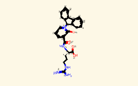 N=C(N)NCCC[C@H](NC(=O)c1cccn(C2c3ccccc3-c3ccccc32)c1=O)C(=O)O